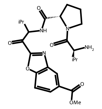 COC(=O)c1ccc2oc(C(=O)C(NC(=O)[C@@H]3CCCN3C(=O)[C@@H](N)C(C)C)C(C)C)nc2c1